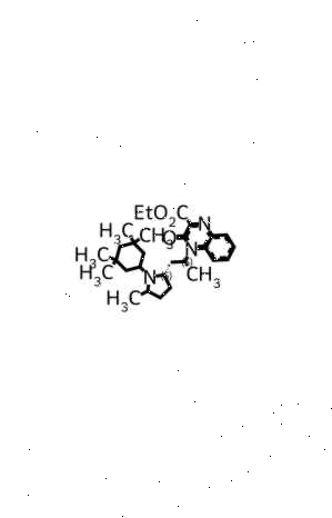 CCOC(=O)c1nc2ccccc2n([C@@H](C)C[C@@H]2CCC(C)N2C2CC(C)(C)CC(C)(C)C2)c1=O